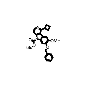 COc1cc2c3c(C4CCC4)nccc3n(C(=O)OC(C)(C)C)c2cc1OCc1ccccc1